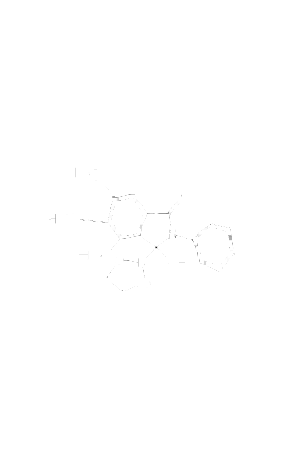 Cc1cc2c(c(C)c1C)C(C)(B1OCCO1)N(c1ccccc1)C2=O